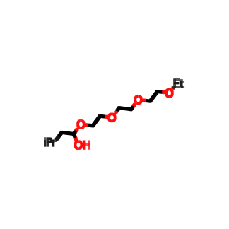 [CH2]COCCOCCOCCOC(O)CC(C)C